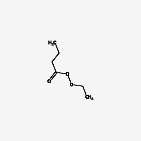 CCCC(=O)OOCC